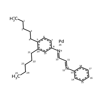 CCCCCc1ccc(N=CC=Nc2ccccc2)cc1CCCCC.[Pd]